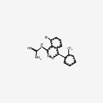 N=C(N)Nc1nnc(-c2ccccc2C(F)(F)F)c2cccc(Br)c12